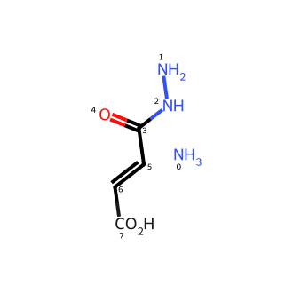 N.NNC(=O)C=CC(=O)O